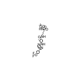 COC(=O)[C@H](CCCCNC(=O)c1ccc(Nc2nccn3c(-c4ccc(OC(F)F)cc4)cnc23)cc1C)NC(=O)OC(C)(C)C